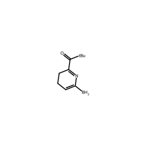 BC1=CCCC(C(=O)C(C)(C)C)=N1